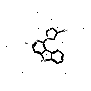 Cl.OC1CCN(c2nccc3[nH]c4ccccc4c23)C1